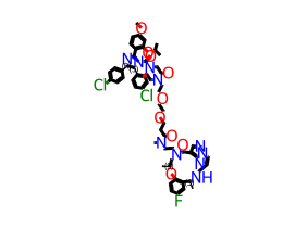 COc1ccc(C2=N[C@H](c3ccc(Cl)cc3)[C@H](c3ccc(Cl)cc3)N2C(=O)N2CCN(CCOCCOCCC(=O)N(C)CCN3C[C@H](C)Oc4ccc(F)cc4[C@H](C)Nc4ccn5ncc(c5n4)C3=O)C(=O)C2)c(OC(C)C)c1